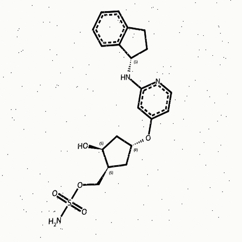 NS(=O)(=O)OC[C@@H]1C[C@@H](Oc2ccnc(N[C@H]3CCc4ccccc43)c2)C[C@@H]1O